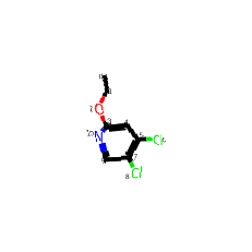 CCOc1cc(Cl)c(Cl)cn1